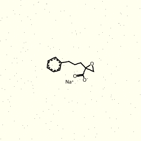 O=C([O-])C1(CCCc2ccccc2)CO1.[Na+]